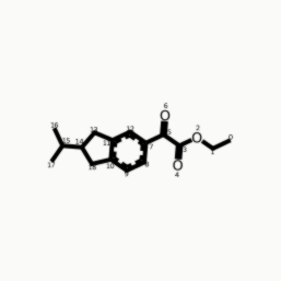 CCOC(=O)C(=O)c1ccc2c(c1)CC(C(C)C)C2